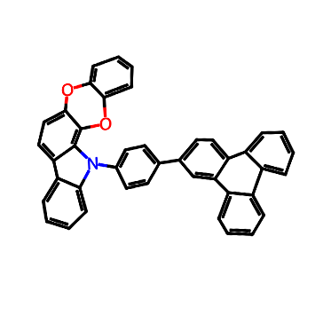 c1ccc2c(c1)Oc1ccc3c4ccccc4n(-c4ccc(-c5ccc6c7ccccc7c7ccccc7c6c5)cc4)c3c1O2